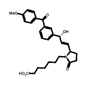 COc1ccc(C(=O)c2cccc([C@H](O)/C=C/C3CCC(=O)N3CCCCCCC(=O)O)c2)cc1